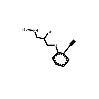 C#Cc1ccccc1OCC(O)CNCCCC